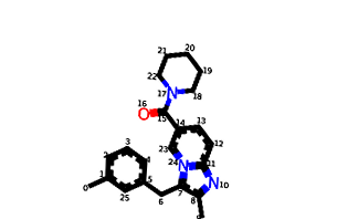 Cc1cccc(Cc2c(C)nc3ccc(C(=O)N4CCCCC4)cn23)c1